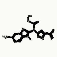 C=C(C)c1cc(N(C(=O)OC(C)(C)C)c2nc3cc(N)ccc3n2C)no1